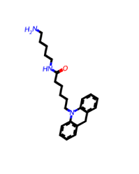 NCCCCCNC(=O)CCCCCN1c2ccccc2Cc2ccccc21